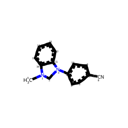 CN1CN(c2ccc(C#N)cc2)c2ccccc21